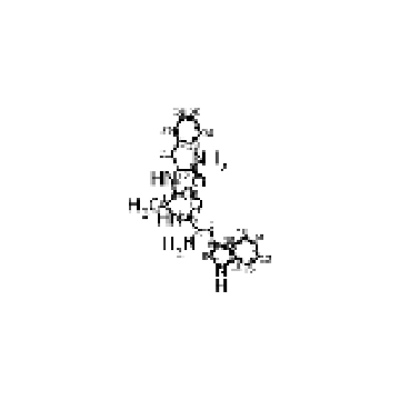 C[C@H](NC(=O)[C@@H](N)Cc1c[nH]c2ccccc12)C(=O)N[C@@H](Cc1ccccc1)C(N)=O